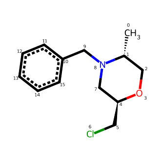 C[C@@H]1CO[C@@H](CCl)CN1Cc1ccccc1